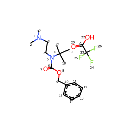 CN(C)CCN(C(=O)OCc1ccccc1)C(C)(C)C.O=C(O)C(F)(F)F